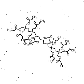 C=CC(=O)OCC(CCC(COC(=O)C=C)(COC(=O)C=C)CC(CCCCC(CC(CCC(COC(=O)C=C)(COC(=O)C=C)COC(=O)C=C)(COC(=O)C=C)COC(=O)C=C)NC(=O)O)NC(=O)O)(COC(=O)C=C)COC(=O)C=C